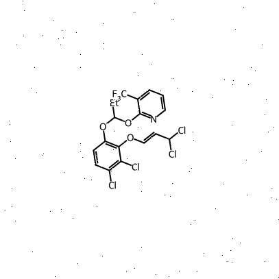 CCC(Oc1ccc(Cl)c(Cl)c1OC=CC(Cl)Cl)Oc1ncccc1C(F)(F)F